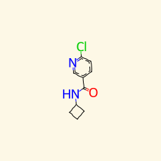 O=C(NC1CCC1)c1ccc(Cl)nc1